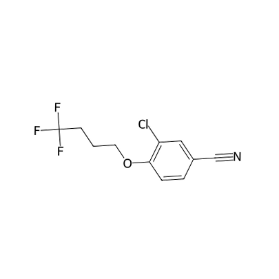 N#Cc1ccc(OCCCC(F)(F)F)c(Cl)c1